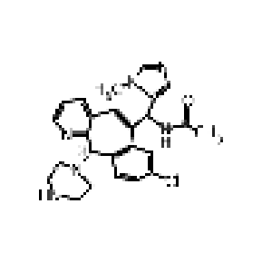 CC(=O)NC(C1=Cc2cccnc2[C@@H](N2CCNCC2)c2ccc(Cl)cc21)c1cncn1C